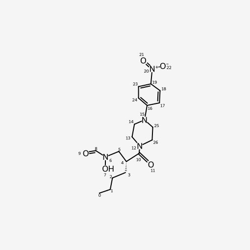 CCCC[C@H](CN(O)C=O)C(=O)N1CCN(c2ccc([N+](=O)[O-])cc2)CC1